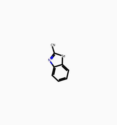 N#Cc1nc2ccccc2[se]1